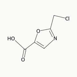 O=C(O)c1cnc(CCl)o1